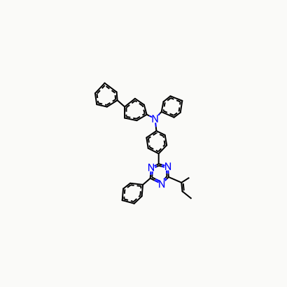 C/C=C(\C)c1nc(-c2ccccc2)nc(-c2ccc(N(c3ccccc3)c3ccc(-c4ccccc4)cc3)cc2)n1